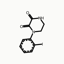 O=C1NCCN(c2ccccc2I)C1=O